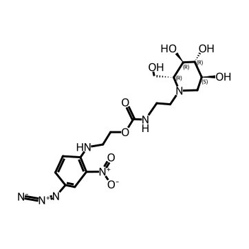 [N-]=[N+]=Nc1ccc(NCCOC(=O)NCCN2C[C@H](O)[C@@H](O)[C@H](O)[C@H]2CO)c([N+](=O)[O-])c1